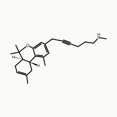 CNCCCC#CCc1cc(C)c2c(c1)OC(C)(C)[C@@H]1CC=C(C)C[C@@H]21